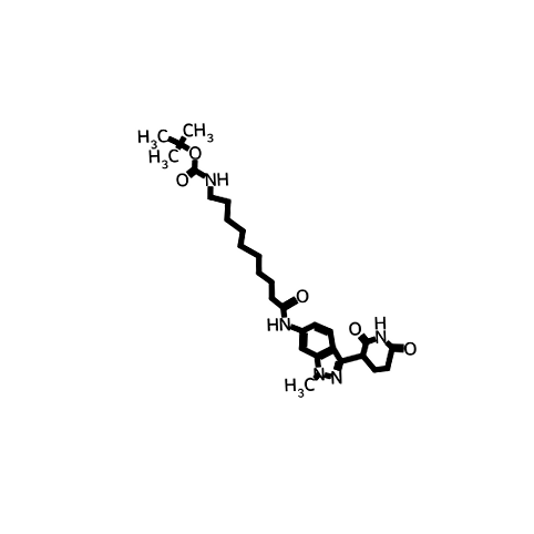 Cn1nc(C2CCC(=O)NC2=O)c2ccc(NC(=O)CCCCCCCCCNC(=O)OC(C)(C)C)cc21